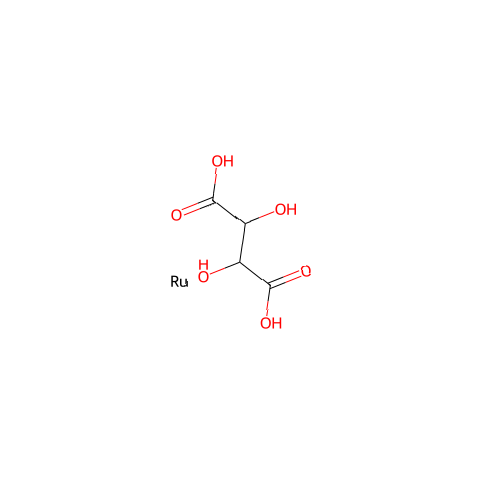 O=C(O)C(O)C(O)C(=O)O.[Ru]